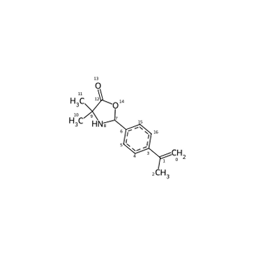 C=C(C)c1ccc(C2NC(C)(C)C(=O)O2)cc1